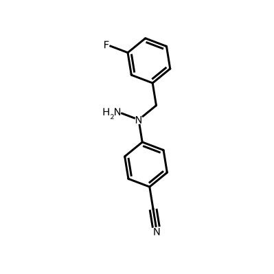 N#Cc1ccc(N(N)Cc2cccc(F)c2)cc1